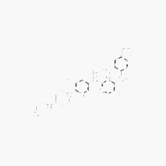 CN1CCN(C2CCN(c3ncc(Nc4ncc(Cl)c(Nc5cc6c(cc5NS(C)(=O)=O)CCO6)n4)cc3F)CC2)CC1